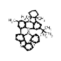 Cc1cc2c3c(c1)N1c4c(cc(C(C)(C)C)cc4C4(C)CCCCC14C)B3N(c1ccccc1C)c1c-2ccc2sc3ccccc3c12